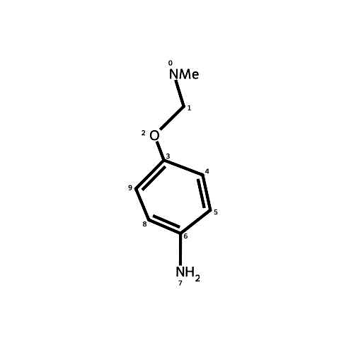 CNCOc1ccc(N)cc1